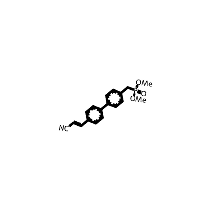 COP(=O)(Cc1ccc(-c2ccc(/C=C/C#N)cc2)cc1)OC